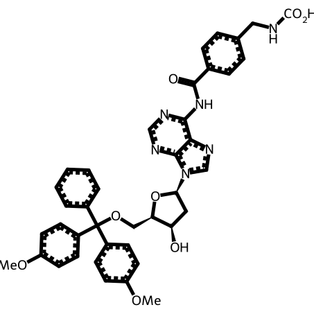 COc1ccc(C(OC[C@H]2O[C@@H](n3cnc4c(NC(=O)c5ccc(CNC(=O)O)cc5)ncnc43)C[C@H]2O)(c2ccccc2)c2ccc(OC)cc2)cc1